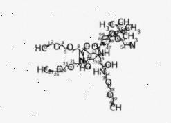 C#CCOCCOCCNC(=O)CCC(CCC(=O)NCCOCCOCC#C)(CCC(O)NCCOCCOCC#C)NC(=O)C12CCC(OP(OCCC#N)N(C(C)C)C(C)C)(CC1)CC2